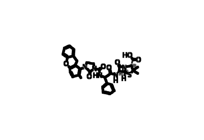 Cc1ccc2c(c1N1CCN(C(=O)NC(C(=O)N[C@@H]3C(=O)N4[C@@H]3SC(C)(C)[C@H]4C(=O)O)c3ccccc3)C1=O)Cc1ccccc1O2